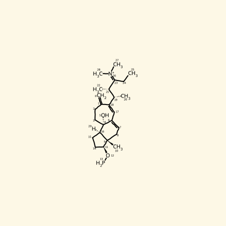 C=C1CC[C@@]2(O)C(=CC[C@]3(C)[C@@H](OP)CC[C@H]32)C=C1[C@@H](C)[C@H](C)C(CC)=[N+](C)C